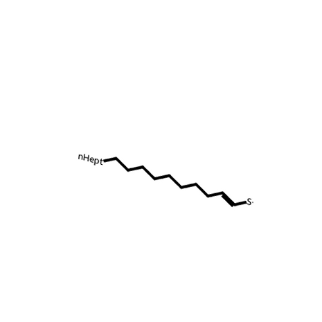 CCCCCCCCCCCCCCCC=C[S]